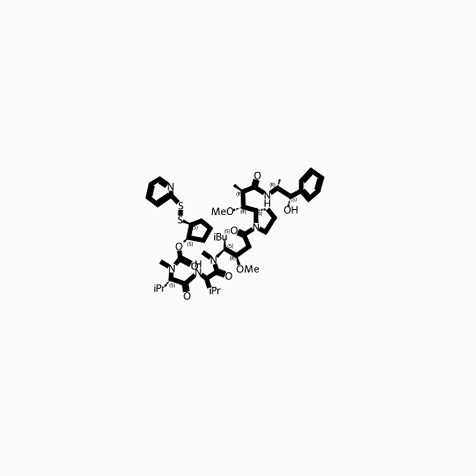 CC[C@H](C)[C@@H]([C@@H](CC(=O)N1CCC[C@H]1[C@H](OC)[C@@H](C)C(=O)N[C@H](C)[C@@H](O)c1ccccc1)OC)N(C)C(=O)C(NC(=O)[C@H](C(C)C)N(C)C(=O)O[C@H]1CCC[C@@H]1SSc1ccccn1)C(C)C